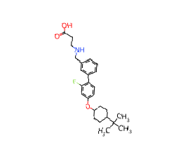 CC(C)(C)C1CCC(Oc2ccc(-c3cccc(CNCCC(=O)O)c3)c(F)c2)CC1